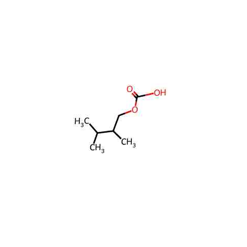 CC(C)C(C)COC(=O)O